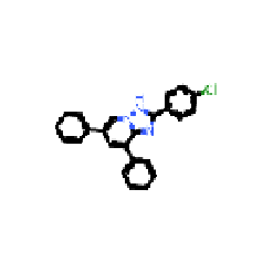 Clc1ccc(C2N=C3C(C4=CCCC=C4)=CC(C4=CCCC=C4)=CN3N2)cc1